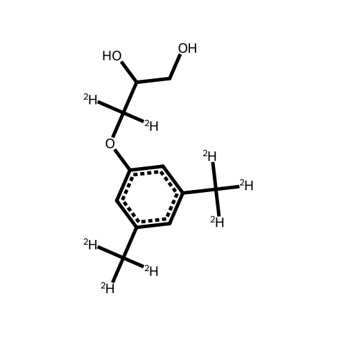 [2H]C([2H])([2H])c1cc(OC([2H])([2H])C(O)CO)cc(C([2H])([2H])[2H])c1